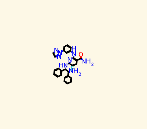 NC(=O)c1cc(F)c(N[C@H](c2ccccc2)[C@@H](N)c2ccccc2)nc1Nc1cccc(-n2nccn2)c1